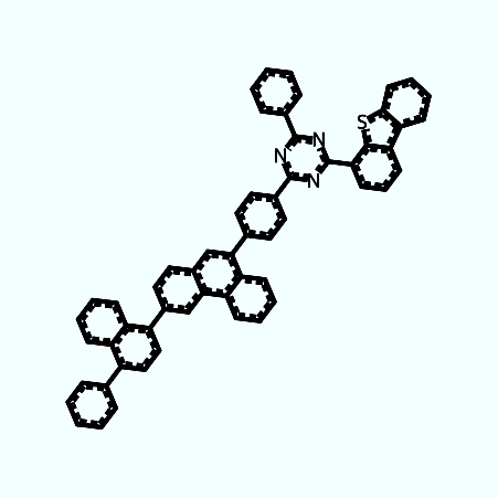 c1ccc(-c2nc(-c3ccc(-c4cc5ccc(-c6ccc(-c7ccccc7)c7ccccc67)cc5c5ccccc45)cc3)nc(-c3cccc4c3sc3ccccc34)n2)cc1